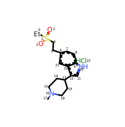 CCS(=O)(=O)CCc1ccc2[nH]cc(C3CCN(C)CC3)c2c1.Cl